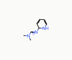 CN(C)/C=N/C1C=CC=CN1